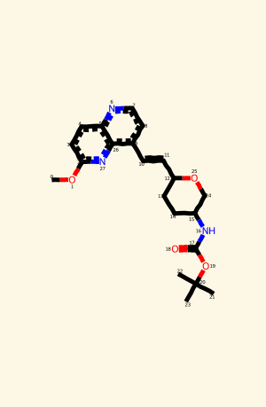 COc1ccc2nccc(C=CC3CCC(NC(=O)OC(C)(C)C)CO3)c2n1